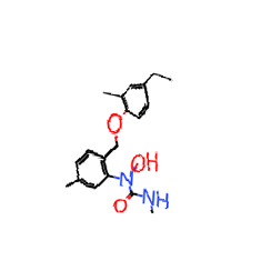 CCc1ccc(OCc2ccc(C)cc2N(O)C(=O)NC)c(C)c1